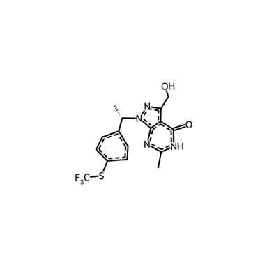 Cc1nc2c(c(CO)nn2[C@@H](C)c2ccc(SC(F)(F)F)cc2)c(=O)[nH]1